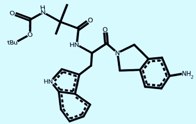 CC(C)(C)OC(=O)NC(C)(C)C(=O)NC(Cc1c[nH]c2ccccc12)C(=O)N1Cc2ccc(N)cc2C1